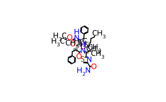 CCCC[Si](C)(C)O[C@@H](C[C@@H](Cc1ccccc1)C(=O)N[C@H](c1nc(C(N)=O)cs1)C(C)C)[C@H](Cc1ccccc1)NC(=O)OC(C)(C)C